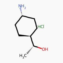 C[C@@H](O)[C@H]1CC[C@H](N)CC1.Cl